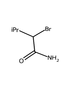 CC(C)C(Br)C(N)=O